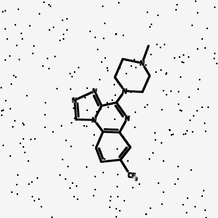 CN1CCN(c2nc3cc(C(F)(F)F)ccc3n3cnnc23)CC1